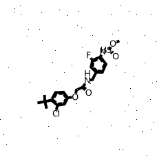 CO[SH](=O)=Nc1ccc(CNC(=O)COc2ccc(C(C)(C)C)c(Cl)c2)cc1F